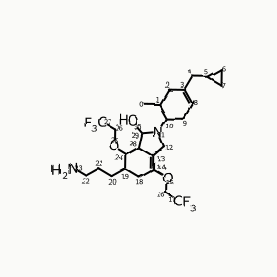 CC1CC(CC2CC2)=CCC1N1CC2=C(OCC(F)(F)F)CC(CCCN)C(OCC(F)(F)F)C2C1O